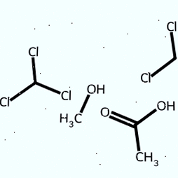 CC(=O)O.CO.ClC(Cl)Cl.ClCCl